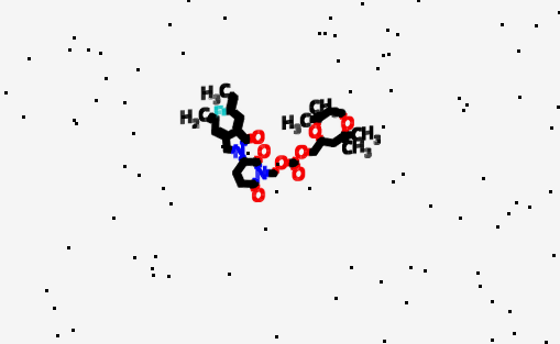 C=C/C=C1/CN(C2CCC(=O)N(COC(=O)OCC3CC(C)(C)OCCC(C)(C)O3)C2=O)C(=O)/C1=C/C(F)=C/C